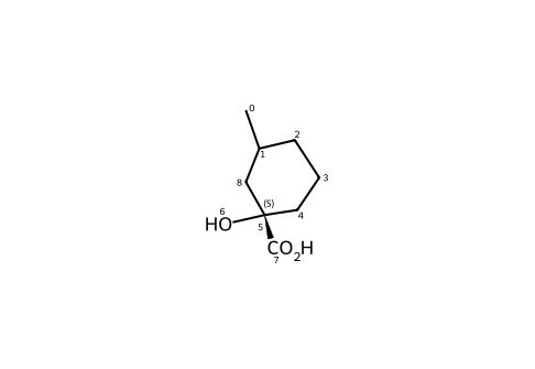 CC1CCC[C@@](O)(C(=O)O)C1